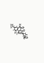 Nc1c(C(=O)N[C@@H]2C=CS(=O)(=O)C2)c(=O)[nH]c2cc(C3CCC3)ccc12